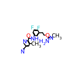 C/N=C(/N)OCCc1cc(NC(=O)c2ncc(C#N)cc2C)cc(F)c1F